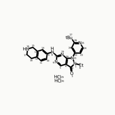 CCn1c(=O)c2cnc(Nc3ccc4c(c3)CNCC4)nc2n1-c1ccnc(C(C)(C)C)c1.Cl.Cl